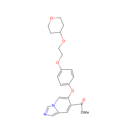 COC(=O)c1cc2cncn2cc1Oc1ccc(OCCOC2CCOCC2)cc1